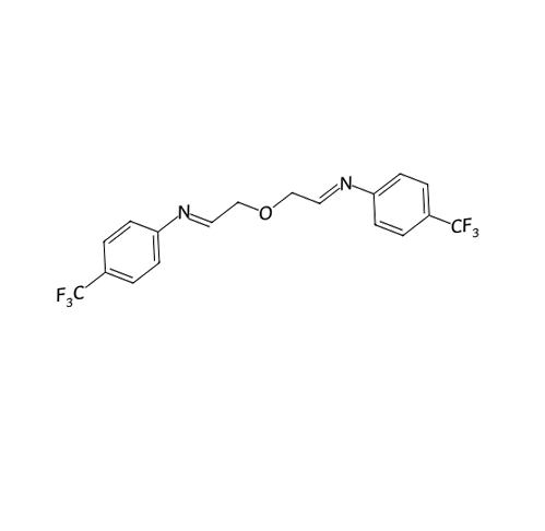 FC(F)(F)c1ccc(N=CCOCC=Nc2ccc(C(F)(F)F)cc2)cc1